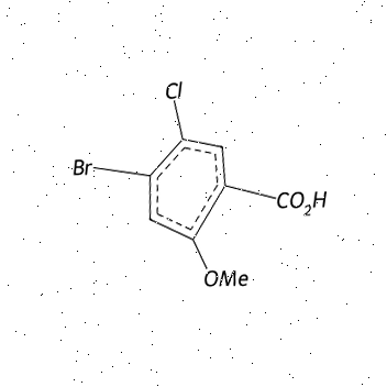 COc1cc(Br)c(Cl)cc1C(=O)O